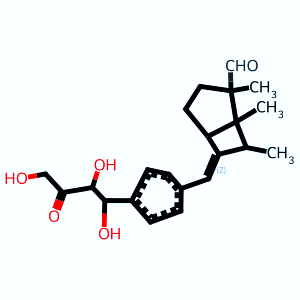 CC1/C(=C/c2ccc(C(O)C(O)C(=O)CO)cc2)C2CCC(C)(C=O)C12C